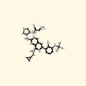 [2H]C([2H])([2H])Oc1cccc(-c2cc3cnc(N[C@@H]4COC[C@@H]4NC(=O)C=C)nc3c(NCC3CC3)n2)c1Cl